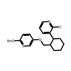 COc1ccc(OCC2CCCCC2c2cccnc2Cl)cn1